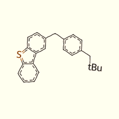 CC(C)(C)Cc1ccc(Cc2ccc3sc4ccccc4c3c2)cc1